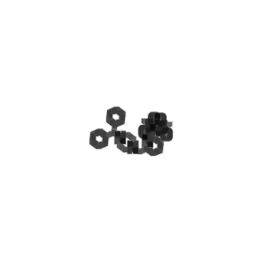 CS(=O)(=O)N(c1cccc(CN2CCN(C(c3ccccc3)c3ccccc3)CC2)n1)S(C)(=O)=O